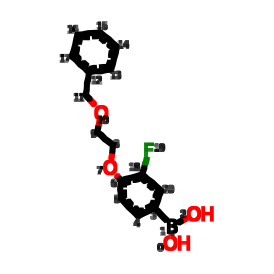 OB(O)c1ccc(OCCOCc2ccccc2)c(F)c1